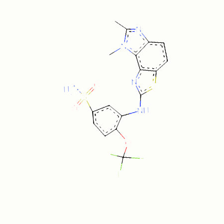 Cc1nc2ccc3sc(Nc4cc(S(N)(=O)=O)ccc4OC(F)(F)F)nc3c2n1C